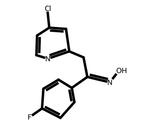 O/N=C(\Cc1cc(Cl)ccn1)c1ccc(F)cc1